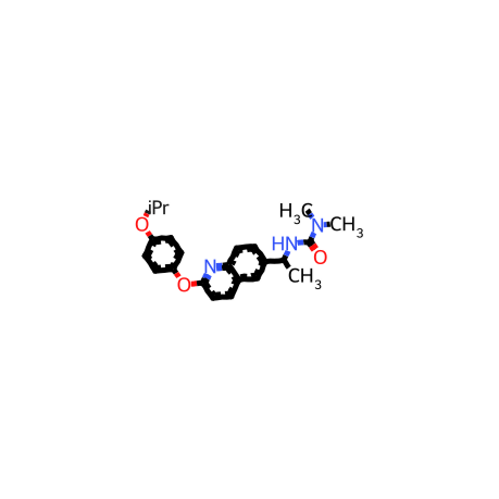 CC(C)Oc1ccc(Oc2ccc3cc(C(C)NC(=O)N(C)C)ccc3n2)cc1